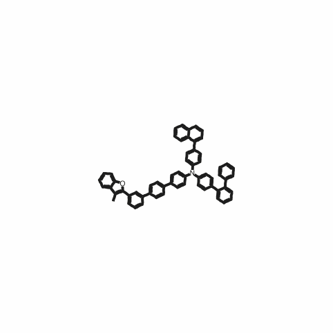 Cc1c(-c2cccc(-c3ccc(-c4ccc(N(c5ccc(-c6ccccc6-c6ccccc6)cc5)c5ccc(-c6cccc7ccccc67)cc5)cc4)cc3)c2)oc2ccccc12